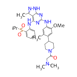 COc1cc(C2CCN(C(=O)CN(C)C)CC2)c(C)cc1Nc1nc(Nc2ccccc2S(=O)(=O)C(C)C)c2c(C)n[nH]c2n1